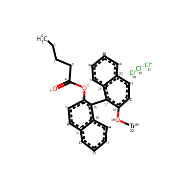 CCCCC(=O)Oc1ccc2ccccc2c1-c1c([O][Ti+3])ccc2ccccc12.[Cl-].[Cl-].[Cl-]